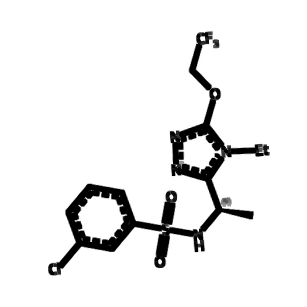 CCn1c(OCC(F)(F)F)nnc1[C@@H](C)NS(=O)(=O)c1cccc(Cl)c1